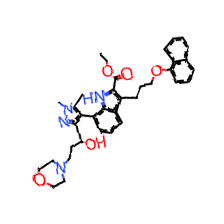 CCOC(=O)c1[nH]c2c(-c3c([C@H](O)CCN4CCOCC4)nn(C)c3C)cccc2c1CCCOc1cccc2ccccc12